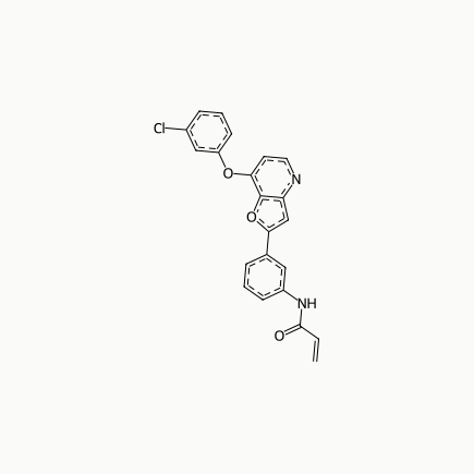 C=CC(=O)Nc1cccc(-c2cc3nccc(Oc4cccc(Cl)c4)c3o2)c1